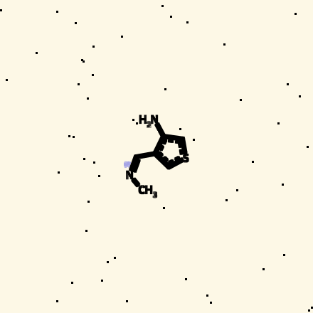 C/N=C\c1cscc1N